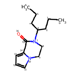 CCCC(CCC)N1CCn2cccc2C1=O